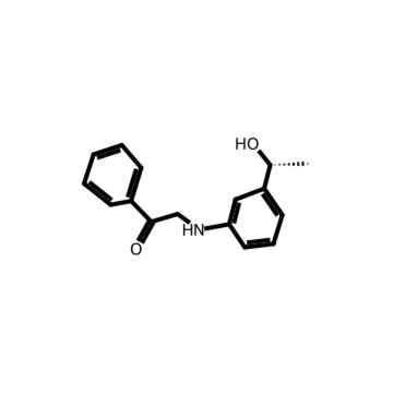 [CH2][C@@H](O)c1cccc(NCC(=O)c2ccccc2)c1